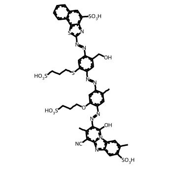 Cc1cc(N=Nc2c(C)c(C#N)c3nc4cc(S(=O)(=O)O)c(C)cc4n3c2O)c(OCCCS(=O)(=O)O)cc1N=Nc1cc(CO)c(N=Nc2nc3c(S(=O)(=O)O)cc4ccccc4c3s2)cc1SCCCS(=O)(=O)O